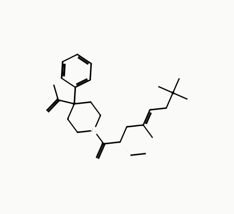 C=C([C@@H](CC)C/C(C)=C/CC(C)(C)C)N1CCC(C(=C)C)(c2ccccc2)CC1